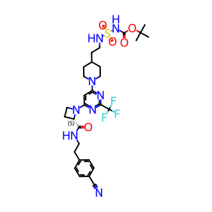 CC(C)(C)OC(=O)NS(=O)(=O)NCCC1CCN(c2cc(N3CC[C@H]3C(=O)NCCc3ccc(C#N)cc3)nc(C(F)(F)F)n2)CC1